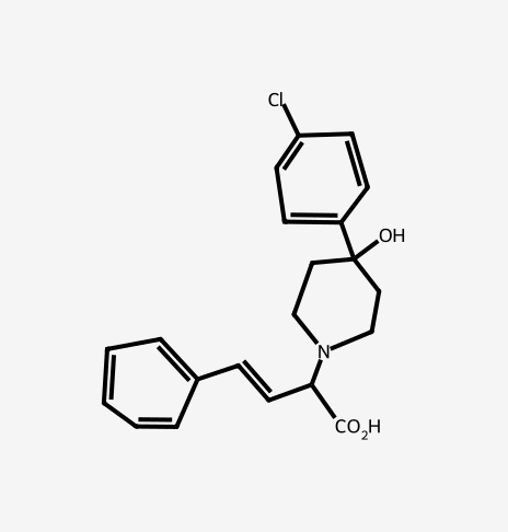 O=C(O)C(/C=C/c1ccccc1)N1CCC(O)(c2ccc(Cl)cc2)CC1